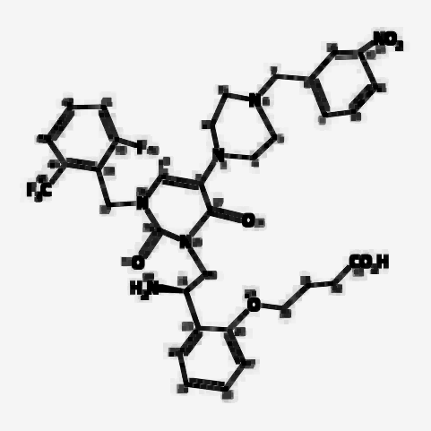 Cc1c(N2CCN(Cc3cccc([N+](=O)[O-])c3)CC2)c(=O)n(C[C@H](N)c2ccccc2OCCCC(=O)O)c(=O)n1Cc1c(F)cccc1C(F)(F)F